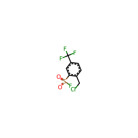 O=S(=O)(F)c1cc(C(F)(F)F)ccc1CCl